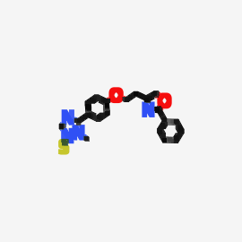 CN1C(c2ccc(OCCc3coc(-c4ccccc4)n3)cc2)N=C[N+]1=S